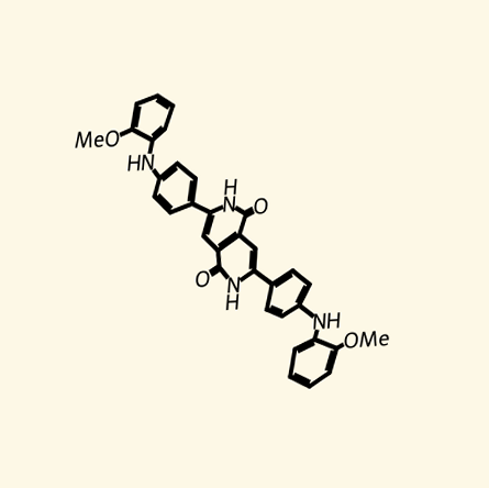 COc1ccccc1Nc1ccc(-c2cc3c(=O)[nH]c(-c4ccc(Nc5ccccc5OC)cc4)cc3c(=O)[nH]2)cc1